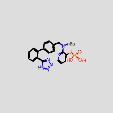 CCCCN(Cc1ccc(-c2ccccc2-c2nnn[nH]2)cc1)c1ncccc1OP(=O)(O)O